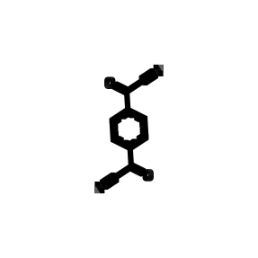 N#CC(=O)c1ccc(C(=O)C#N)cc1